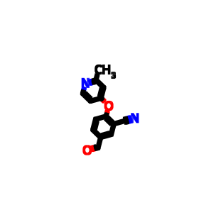 Cc1cc(Oc2ccc(C=O)cc2C#N)ccn1